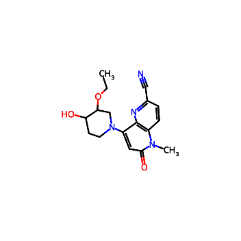 CCOC1CN(c2cc(=O)n(C)c3ccc(C#N)nc23)CCC1O